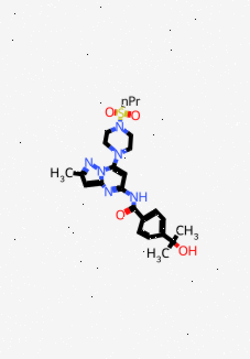 CCCS(=O)(=O)N1CCN(c2cc(NC(=O)c3ccc(C(C)(C)O)cc3)nc3cc(C)nn23)CC1